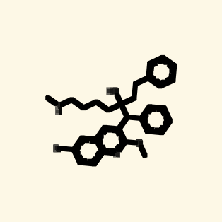 CNCCCCC(O)(CCc1ccccc1)C(c1ccccc1)c1cc2cc(Br)ccc2nc1OC